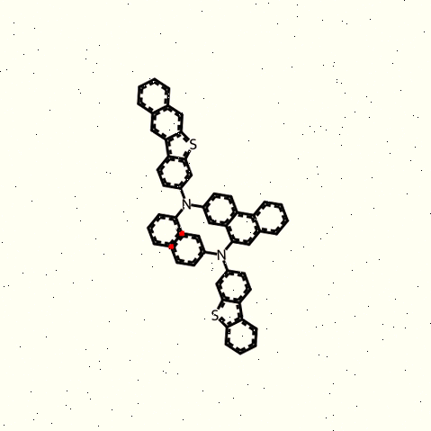 c1ccc(N(c2ccc3c(c2)sc2cc4ccccc4cc23)c2ccc3c(c2)c(N(c2ccccc2)c2ccc4c(c2)sc2ccccc24)cc2ccccc23)cc1